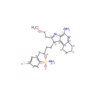 COCCc1nc2c(N)nc3c(c2n1CCCCc1cc(F)ccc1S(N)(=O)=O)CCCC3